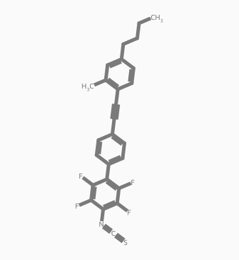 CCCCc1ccc(C#Cc2ccc(-c3c(F)c(F)c(N=C=S)c(F)c3F)cc2)c(C)c1